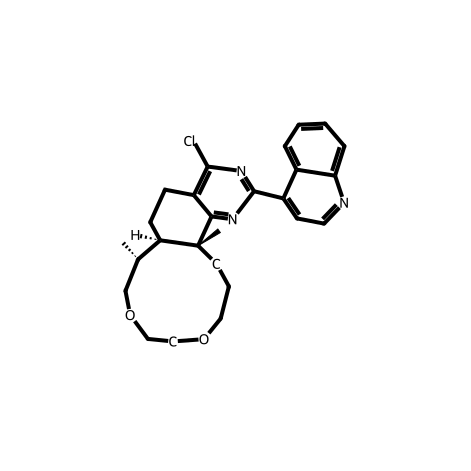 C[C@H]1COCCOCCC[C@@]2(C)c3nc(-c4ccnc5ccccc45)nc(Cl)c3CC[C@H]12